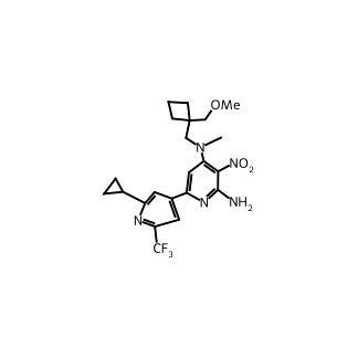 COCC1(CN(C)c2cc(-c3cc(C4CC4)nc(C(F)(F)F)c3)nc(N)c2[N+](=O)[O-])CCC1